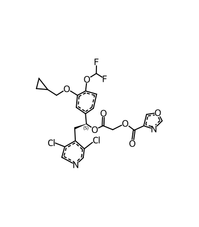 O=C(COC(=O)c1cocn1)O[C@@H](Cc1c(Cl)cncc1Cl)c1ccc(OC(F)F)c(OCC2CC2)c1